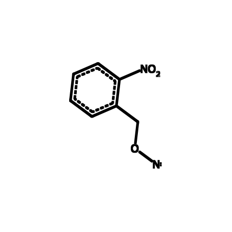 [N]OCc1ccccc1[N+](=O)[O-]